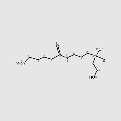 CCCCCCCCCCCCCC(=O)NCCC[N+](C)([O-])CCO